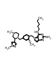 CCCCCNc1nc(N)nc2ccn(Cc3ccc(CN4CCN(C)CC4c4cnn(C)c4)cc3OC)c12